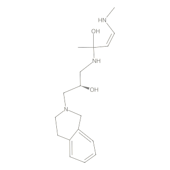 CN/C=C\C(C)(O)NC[C@@H](O)CN1CCc2ccccc2C1